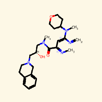 C=N/C(=C\C(=N/C)C(=O)N(C)C[C@H](O)CN1CCc2ccccc2C1)N(C)C1CCOCC1